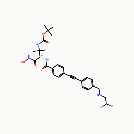 CC(C)(C)OC(=O)NC(C)(C)[C@H](NC(=O)c1ccc(C#Cc2ccc(CNCC(F)F)cc2)cc1)C(=O)NO